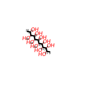 CC(O)C(O)C(O)C(O)C(O)C(O)C(O)C(O)C(O)C(C)O